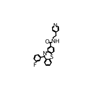 O=C(NCCc1ccncc1)c1ccc2c(c1)N=C(c1cccc(F)c1)c1ccccc1S2